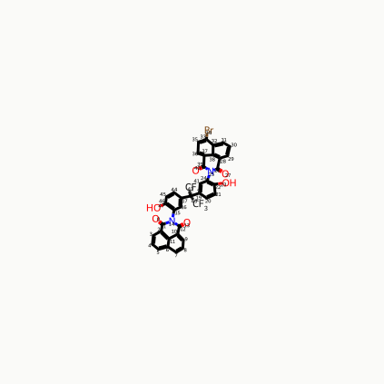 O=C1c2cccc3cccc(c23)C(=O)N1c1cc(C(c2ccc(O)c(N3C(=O)c4cccc5c(Br)ccc(c45)C3=O)c2)(C(F)(F)F)C(F)(F)F)ccc1O